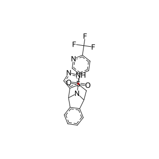 O=S(=O)(c1ccc(C(F)(F)F)nc1)N1C2Cc3[nH]ncc3C1c1ccccc12